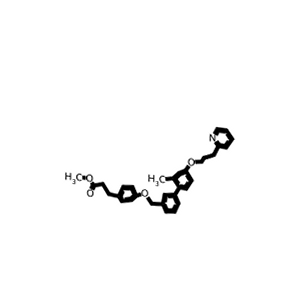 COC(=O)CCc1ccc(OCc2cccc(-c3ccc(OCCCc4ccccn4)cc3C)c2)cc1